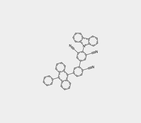 N#Cc1ccc(-c2c3ccccc3c(-c3ccccc3)c3ccccc23)cc1-c1cc(C#N)c(-n2c3ccccc3c3ccccc32)c(C#N)c1